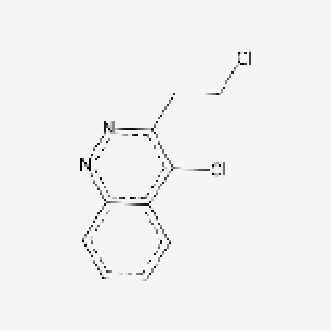 ClCCc1nnc2ccccc2c1Cl